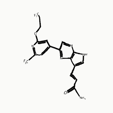 NC(=O)C=Cc1c[nH]c2ncc(-c3cc(OCC(F)(F)F)nc(C(F)(F)F)c3)nc12